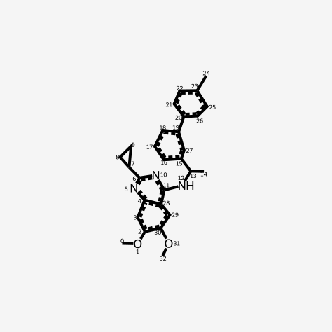 COc1cc2nc(C3CC3)nc(NC(C)c3cccc(-c4ccc(C)cc4)c3)c2cc1OC